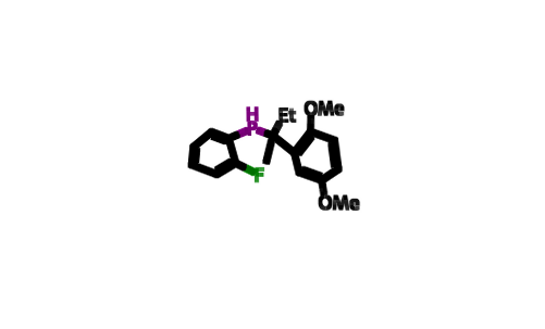 CCC(C)(Pc1ccccc1F)c1cc(OC)ccc1OC